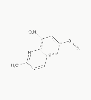 CCOc1cc([N+](=O)[O-])c2nc(C)ccc2c1